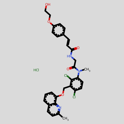 Cc1ccc2cccc(OCc3c(Cl)ccc(N(C)C(=O)CNC(=O)C=Cc4ccc(OCCO)cc4)c3Cl)c2n1.Cl